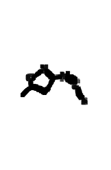 Cc1cc(N=C=S)no1